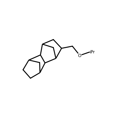 CC(C)OCC1CC2CC1C1C3CCC(C3)C21